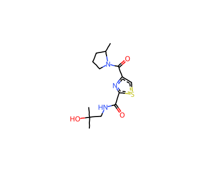 CC1CCCN1C(=O)c1csc(C(=O)NCC(C)(C)O)n1